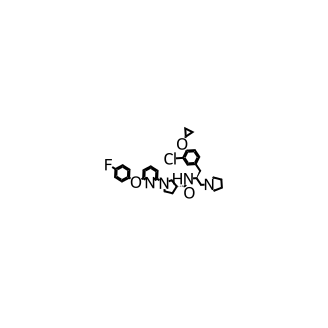 O=C(N[C@@H](Cc1ccc(OC2CC2)c(Cl)c1)CN1CCCC1)[C@@H]1CCN(c2cccc(Oc3ccc(F)cc3)n2)C1